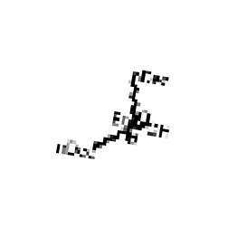 CCCCCCCCCCCCCCCC(=O)C(CC)(CCO)C(=O)CCCCCCCCCCCCCCC